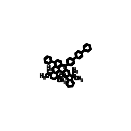 CC1(C)CCC(C)(C)c2c(-c3cc4c(cc3N(c3ccc(-c5ccccc5)cc3)c3ccc(-c5ccc(-c6ccccc6)cc5)cc3)C(C)(C)c3ccccc3-4)cccc21